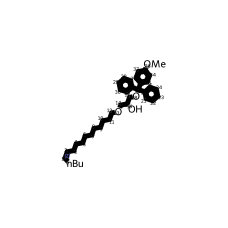 CCCC/C=C\CCCCCCCCCCOCC(O)COC(c1ccccc1)(c1ccccc1)c1ccc(OC)cc1